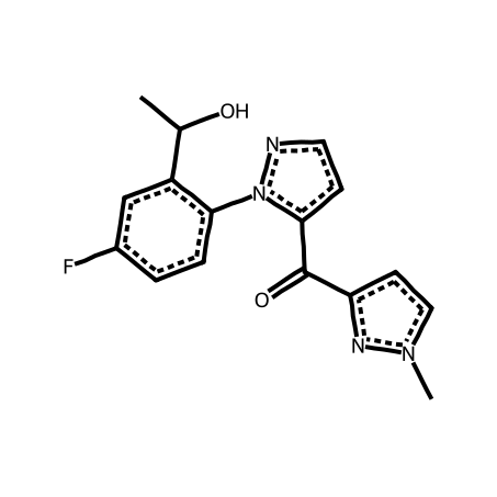 CC(O)c1cc(F)ccc1-n1nccc1C(=O)c1ccn(C)n1